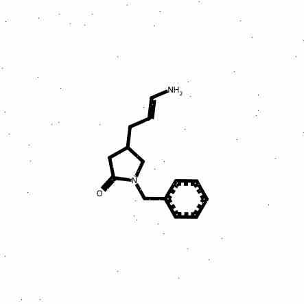 NC=CCC1CC(=O)N(Cc2ccccc2)C1